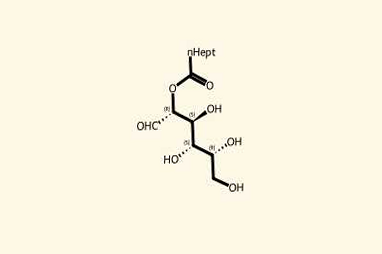 CCCCCCCC(=O)O[C@@H](C=O)[C@@H](O)[C@@H](O)[C@H](O)CO